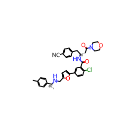 Cc1ccc([C@@H](C)NCc2ccc(-c3ccc(Cl)c(C(=O)N[C@@H](CC(=O)N4CCOCC4)Cc4ccc(C#N)cc4)c3)o2)cc1